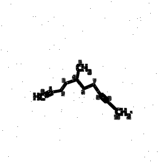 C#CCCC(C)CCC#C[CH2]